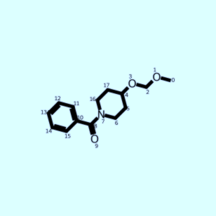 COCOC1CCN(C(=O)c2cc[c]cc2)CC1